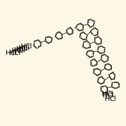 Cl.Cl.Cl.Cl.Cl.Cl.Cl.Cl.Cl.Cl.c1ccc(-c2ccccc2)cc1.c1ccc(-c2ccccc2)cc1.c1ccc(-c2ccccc2)cc1.c1ccc(-c2ccccc2)cc1.c1ccc(-c2ccccc2)cc1.c1ccc(-c2ccccc2)cc1.c1ccc(-c2ccccc2)cc1.c1ccc(-c2ccccc2)cc1.c1ccc(-c2ccccc2)cc1.c1ccc(-c2ccccc2)cc1